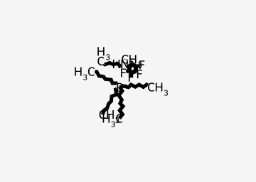 CCCCCCCC[B-](CCCCCCCC)(CCCCCCCC)CCCCCCCC.CCCCCC[NH+](C)c1cc(F)c(F)c(F)c1F